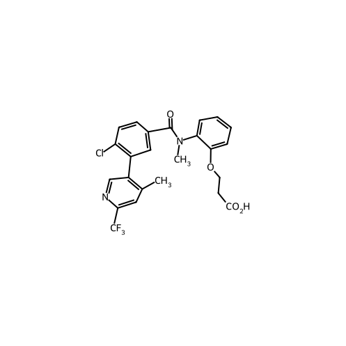 Cc1cc(C(F)(F)F)ncc1-c1cc(C(=O)N(C)c2ccccc2OCCC(=O)O)ccc1Cl